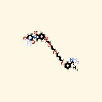 C[C@@H](N)c1cccc(OCCCCCOCCCOCCOc2ccc3c(c2)CN(C2CCC(=O)NC2=O)C3=O)c1